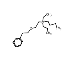 CCCC[N+](CC)(CCC)CCOCCc1ccccc1